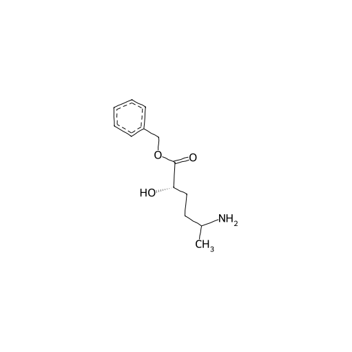 CC(N)CC[C@H](O)C(=O)OCc1ccccc1